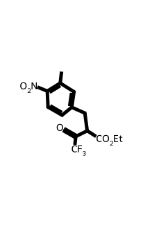 CCOC(=O)C(Cc1ccc([N+](=O)[O-])c(C)c1)C(=O)C(F)(F)F